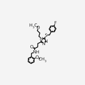 COCCCn1c(CCC(=O)NCc2ccccc2OC)nnc1SCc1ccc(F)cc1